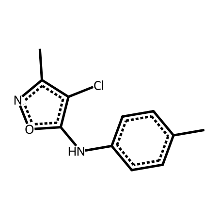 Cc1ccc(Nc2onc(C)c2Cl)cc1